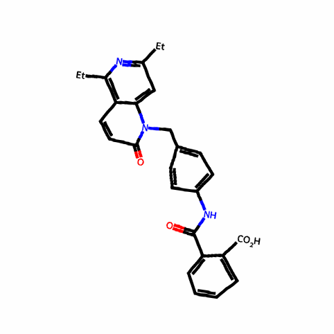 CCc1cc2c(ccc(=O)n2Cc2ccc(NC(=O)c3ccccc3C(=O)O)cc2)c(CC)n1